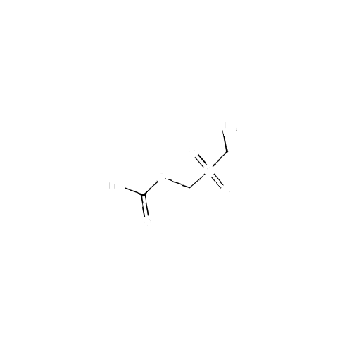 CCS(=O)(=O)COC(=O)O